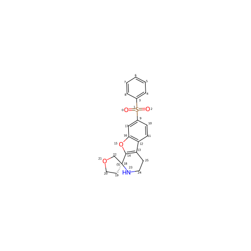 O=S(=O)(c1ccccc1)c1ccc2c3c(oc2c1)[C@@]1(CCOC1)NCC3